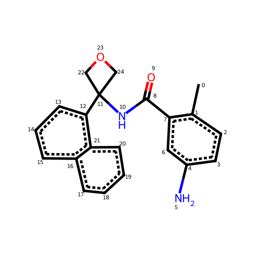 Cc1ccc(N)cc1C(=O)NC1(c2cccc3ccccc23)COC1